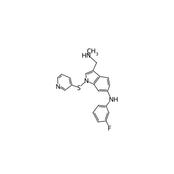 CNCc1cn(Sc2cccnc2)c2cc(Nc3cccc(F)c3)ccc12